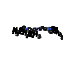 CC1(C)CCN(c2ccc3c(c2)C(C)(C)c2cc(/C=C/c4ccc5c(ccc6cc(N7CCC(C)(C)c8ccccc87)ccc65)c4)ccc2-3)c2ccccc21